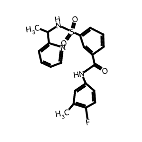 Cc1cc(NC(=O)c2cccc(S(=O)(=O)NC(C)c3ccccn3)c2)ccc1F